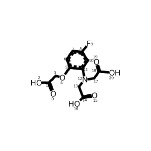 O=C(O)COc1ccc(F)cc1N(CC(=O)O)CC(=O)O